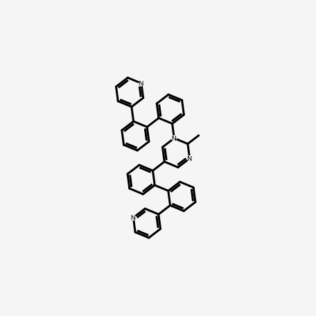 CC1N=CC(c2ccccc2-c2ccccc2-c2cccnc2)=CN1c1ccccc1-c1ccccc1-c1cccnc1